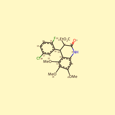 CCOC(=O)C1C(=O)Nc2cc(OC)c(OC)c(OC)c2C1c1cc(Cl)ccc1F